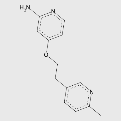 Cc1ccc(CCOc2ccnc(N)c2)cn1